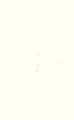 Oc1ccc(CCNC2CC(c3ccccc3)Oc3ccccc3C2O)cc1